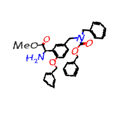 COC(=O)C(N)c1cc(CN(Cc2ccccc2)C(=O)OCc2ccccc2)ccc1OCc1ccccc1